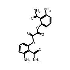 NC(=O)c1c(N)cccc1OC(=O)C(=O)Oc1cccc(N)c1C(N)=O